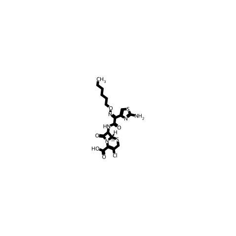 CCCCCCON=C(C(=O)NC1C(=O)N2C(C(=O)O)=C(Cl)CS[C@@H]12)c1csc(N)n1